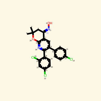 CC1(C)C/C(=N\O)c2cc(-c3ccc(Cl)cc3)c(-c3ccc(Cl)cc3Cl)nc2O1